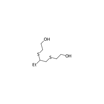 CCC(CSCCO)SCCO